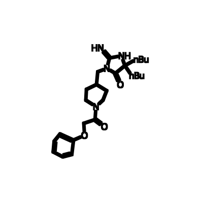 CCCCC1(CCCC)NC(=N)N(CC2CCN(C(=O)COc3ccccc3)CC2)C1=O